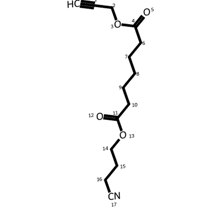 C#CCOC(=O)CCCCCC(=O)OCCCC#N